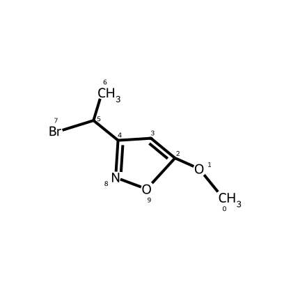 COc1cc(C(C)Br)no1